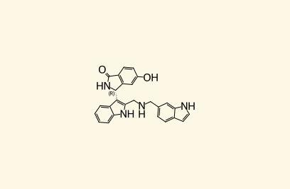 O=C1N[C@@H](c2c(CNCc3ccc4cc[nH]c4c3)[nH]c3ccccc23)c2cc(O)ccc21